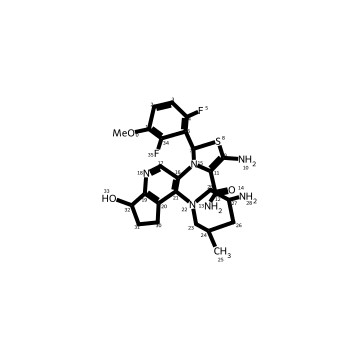 COc1ccc(F)c(C2SC(N)=C(C(N)=O)N2c2cnc3c(c2N2CC(C)CC(N)C2)CCC3O)c1F